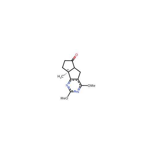 COc1nc(OC)c2c(n1)[C@@]1(C)CCC(=O)C1C2